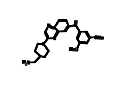 COc1cc(Nc2ccc3ncc(N4CCC(CN)CC4)nc3c2)cc(OC)c1